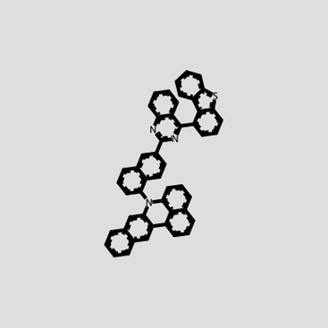 c1ccc2cc3c(cc2c1)-c1cccc2cccc(c12)N3c1cccc2cc(-c3nc(-c4cccc5sc6ccccc6c45)c4ccccc4n3)ccc12